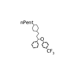 CCCCCC1CCC(CCC(Oc2ccc(C(F)(F)F)cc2)c2ccccc2)CC1